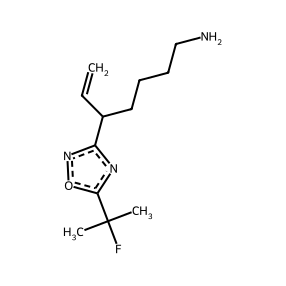 C=CC(CCCCN)c1noc(C(C)(C)F)n1